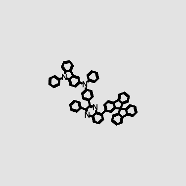 c1ccc(-c2nc3cccc(-c4ccc5c(c4)C4(c6ccccc6-c6ccccc64)c4ccccc4-5)c3nc2-c2ccc(N(c3ccccc3)c3ccc4c(c3)c3ccccc3n4-c3ccccc3)cc2)cc1